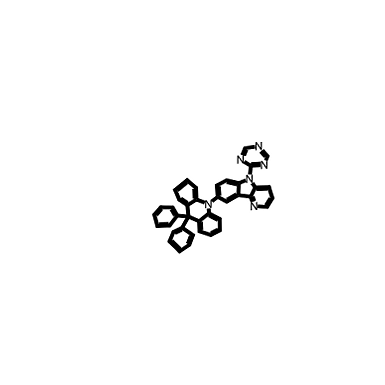 c1ccc(C2(c3ccccc3)c3ccccc3N(c3ccc4c(c3)c3ncccc3n4-c3ncncn3)c3ccccc32)cc1